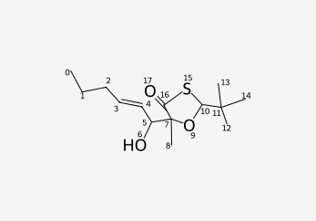 CCC/C=C/C(O)C1(C)OC(C(C)(C)C)SC1=O